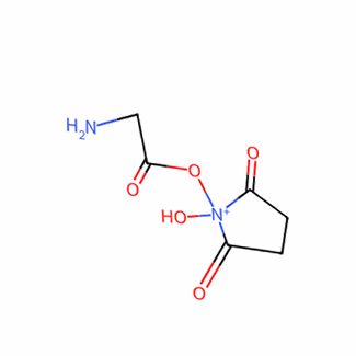 NCC(=O)O[N+]1(O)C(=O)CCC1=O